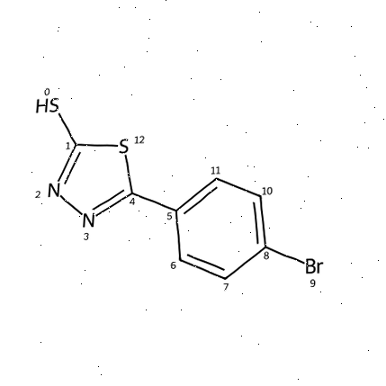 Sc1nnc(-c2ccc(Br)cc2)s1